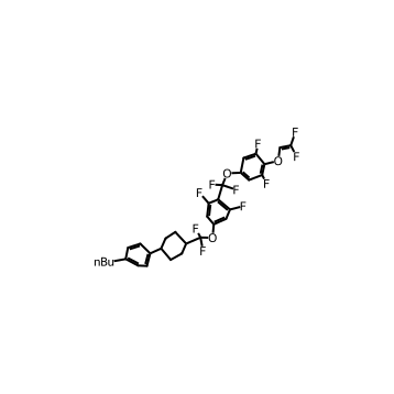 CCCCc1ccc(C2CCC(C(F)(F)Oc3cc(F)c(C(F)(F)Oc4cc(F)c(OC=C(F)F)c(F)c4)c(F)c3)CC2)cc1